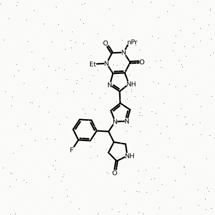 CCCn1c(=O)c2[nH]c(-c3cnn(C(c4cccc(F)c4)C4CNC(=O)C4)c3)nc2n(CC)c1=O